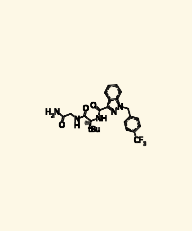 CC(C)(C)[C@H](NC(=O)c1nn(Cc2ccc(C(F)(F)F)cc2)c2ccccc12)C(=O)NCC(N)=O